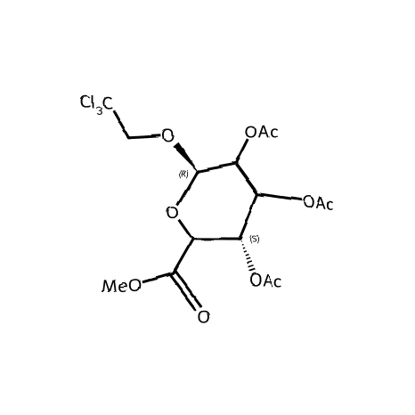 COC(=O)C1O[C@@H](OCC(Cl)(Cl)Cl)C(OC(C)=O)C(OC(C)=O)[C@@H]1OC(C)=O